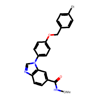 CCc1ccc(COc2ccc(-n3cnc4ccc(C(=O)NOC)cc43)cc2)cc1